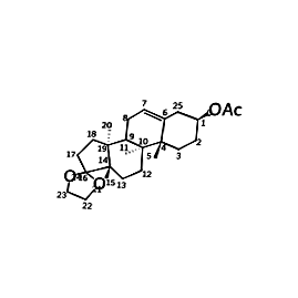 CC(=O)O[C@H]1CC[C@@]2(C)C(=CCC3[C@]2(C)CC[C@]2(C)C4(CC[C@@]32C)OCCO4)C1